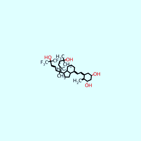 C=C1/C(=C\C=C2/CCC[C@@]3(C)C2CCC3C(C)(C/C=C/C(O)(C(F)(F)F)C(F)(F)F)CCCC(C)(C)O)C[C@@H](O)C[C@@H]1O